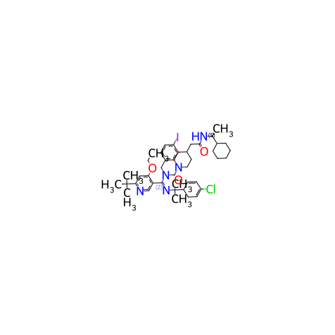 CCOc1cc(C(C)(C)C)ncc1/C(=N/C(C)(C)C1C=CC(Cl)=CC1)N(Cc1ccc(I)cc1)C(=O)N1CCC(CC(=O)N[C@@H](C)C2CCCCC2)CC1